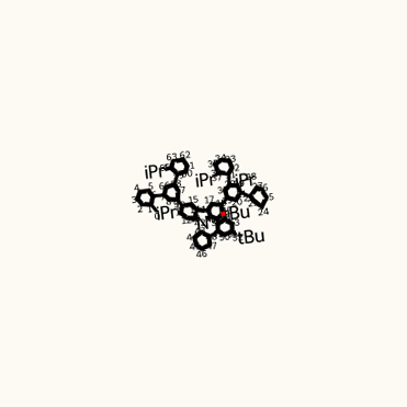 CC(C)c1ccccc1-c1cc(-c2ccc3c(c2)c2cc(-c4cc(-c5ccccc5C(C)C)cc(-c5ccccc5C(C)C)c4)ccc2n3-c2ccccc2-c2cc(C(C)(C)C)cc(C(C)(C)C)c2)cc(-c2ccccc2C(C)C)c1